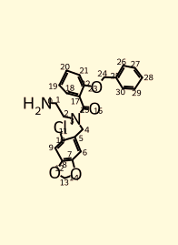 NCCN(Cc1cc2c(cc1Cl)OCO2)C(=O)c1ccccc1OCc1ccccc1